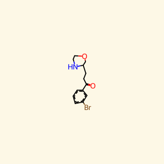 O=C(CCC1COCCN1)c1cccc(Br)c1